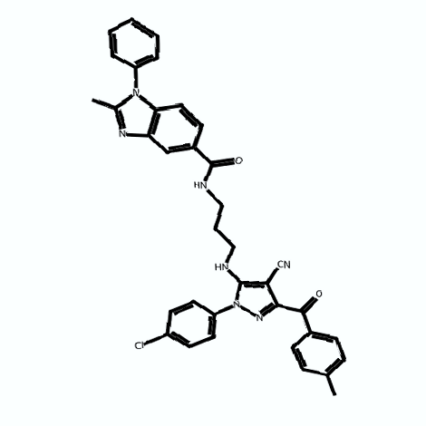 Cc1ccc(C(=O)c2nn(-c3ccc(Cl)cc3)c(NCCCNC(=O)c3ccc4c(c3)nc(C)n4-c3ccccc3)c2C#N)cc1